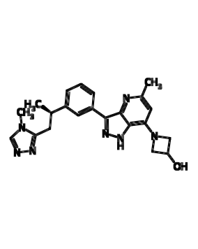 Cc1cc(N2CC(O)C2)c2[nH]nc(-c3cccc([C@H](C)Cc4nncn4C)c3)c2n1